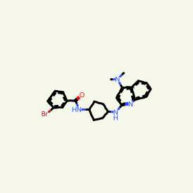 CN(C)c1cc(NC2CCC(NC(=O)c3cccc(Br)c3)CC2)nc2ccccc12